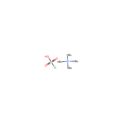 CCCC[N+](CCCC)(CCCC)CCCC.[O]=[Cr](=[O])([OH])[Cl]